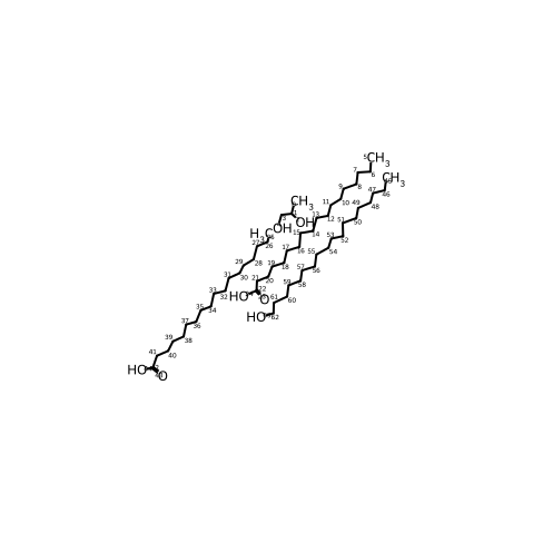 CC(O)CO.CCCCCCCCCCCCCCCCCC(=O)O.CCCCCCCCCCCCCCCCCC(=O)O.CCCCCCCCCCCCCCCCCCO